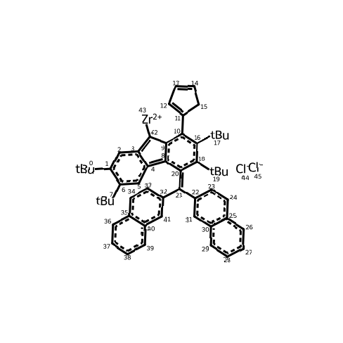 CC(C)(C)c1cc2c(cc1C(C)(C)C)=c1c(c(C3=CC=CC3)c(C(C)(C)C)c(C(C)(C)C)c1=C(c1ccc3ccccc3c1)c1ccc3ccccc3c1)[C]=2[Zr+2].[Cl-].[Cl-]